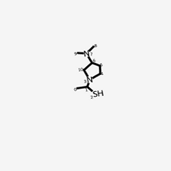 CC(S)N1CCC(N(C)C)C1